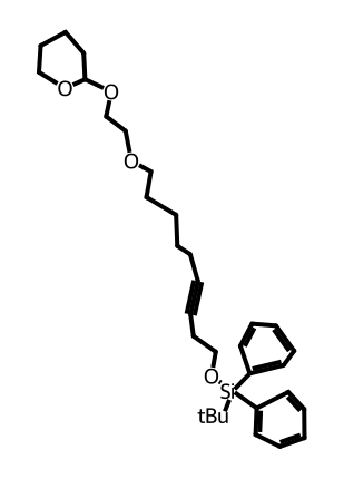 CC(C)(C)[Si](OCCC#CCCCCCOCCOC1CCCCO1)(c1ccccc1)c1ccccc1